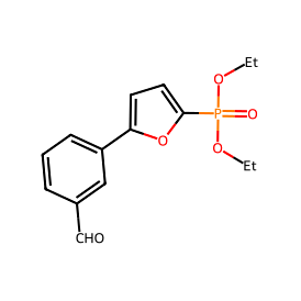 CCOP(=O)(OCC)c1ccc(-c2cccc(C=O)c2)o1